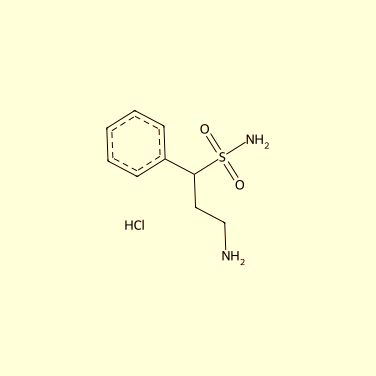 Cl.NCCC(c1ccccc1)S(N)(=O)=O